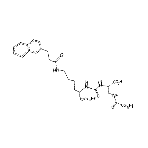 O=C(CCc1ccc2ccccc2c1)NCCCCC(NC(=O)NC(CNC(=O)C(=O)O)C(=O)O)C(=O)O